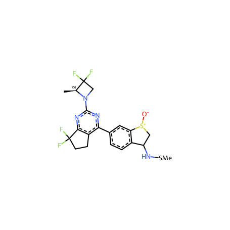 CSNC1C[S+]([O-])c2cc(-c3nc(N4CC(F)(F)[C@@H]4C)nc4c3CCC4(F)F)ccc21